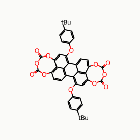 CC(C)(C)c1ccc(Oc2cc3c4c(ccc5c6c(Oc7ccc(C(C)(C)C)cc7)cc7c8c(ccc(c2c45)c86)OC(=O)OC(=O)O7)OC(=O)OC(=O)O3)cc1